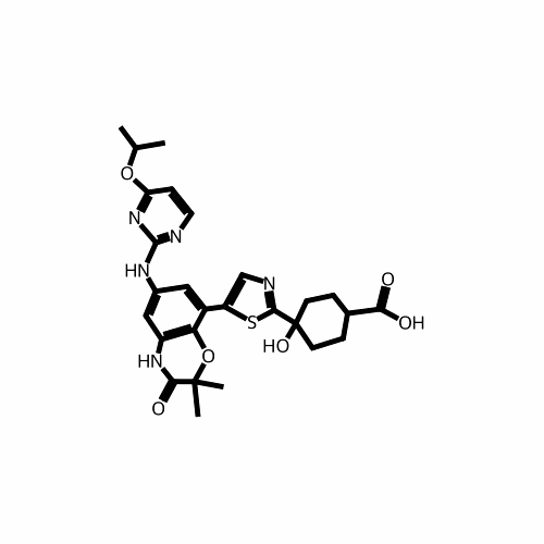 CC(C)Oc1ccnc(Nc2cc3c(c(-c4cnc(C5(O)CCC(C(=O)O)CC5)s4)c2)OC(C)(C)C(=O)N3)n1